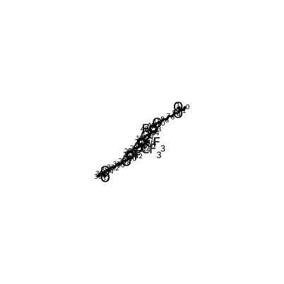 C=CC(=O)OCCCCCCOc1ccc(COc2ccc(OCc3ccc(OCCCCCCOC(=O)C=C)cc3F)c(C(F)(F)F)c2C(F)(F)F)c(F)c1